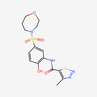 Cc1nnsc1C(=O)Nc1cc(S(=O)(=O)N2CCCOCC2)ccc1O